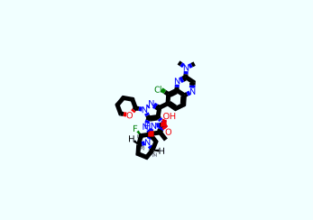 Cc1nc2c(-c3ccc4ncc(N(C)C)nc4c3Cl)nn(C3CCCCO3)c2nc1N1[C@H]2CC[C@@H]1[C@@H](F)[C@@H](NC(=O)O)C2